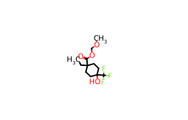 CCC1(C(=O)OCOC)CCC(O)(C(F)(F)F)CC1